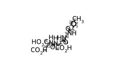 Cc1ccc(CC(=O)NCCNC(=O)CCC(NC(=O)NC(CCC(=O)O)C(=O)O)C(=O)O)cc1